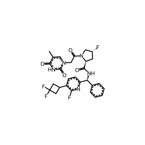 Cc1cn(CC(=O)N2C[C@H](F)C[C@H]2C(=O)N[C@@H](c2ccccc2)c2ccc(C3CC(F)(F)C3)c(F)n2)c(=O)[nH]c1=O